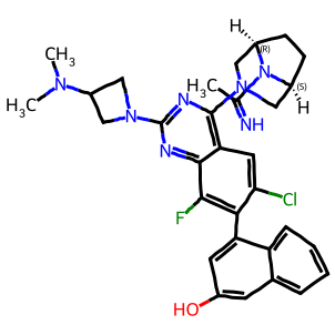 CC(=N)N1[C@@H]2CC[C@H]1CN(c1nc(N3CC(N(C)C)C3)nc3c(F)c(-c4cc(O)cc5ccccc45)c(Cl)cc13)C2